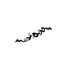 CCCCCC1SCC(C(=O)Oc2ccc(-c3ncc(C4CCC(CCCC)CC4)cn3)cc2)CS1